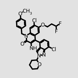 COc1ccc(Cn2c(=O)c(N)c(-c3ccc(Cl)c4nn(C5CCCCO5)cc34)c3cc(OCCC(F)F)c(Cl)cc32)cc1